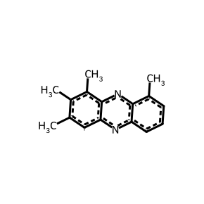 Cc1[c]c2nc3cccc(C)c3nc2c(C)c1C